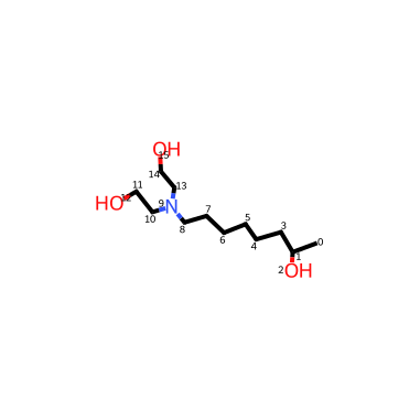 CC(O)CCCCCCN(CCO)CCO